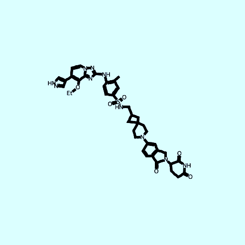 CCOc1c(-c2cn[nH]c2)ccn2nc(Nc3ccc(S(=O)(=O)NCC4CC5(CCN(c6ccc7c(c6)CN(C6CCC(=O)NC6=O)C7=O)CC5)C4)cc3C)nc12